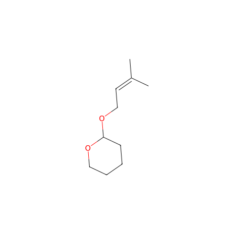 CC(C)=CCOC1CCCCO1